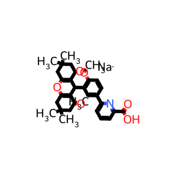 COc1ccc(-c2cccc(C(=O)O)n2)c(C)c1C1C2=C(CC(C)(C)CC2=O)OC2=C1C(=O)CC(C)(C)C2.[Na]